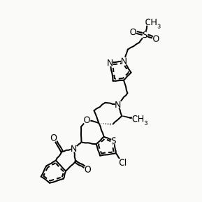 C[C@H]1C[C@@]2(CCN1Cc1cnn(CCS(C)(=O)=O)c1)OCC(N1C(=O)c3ccccc3C1=O)c1cc(Cl)sc12